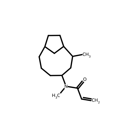 C=CC(=O)N(C)C1CCCC2CCC(C2)C(C)C1